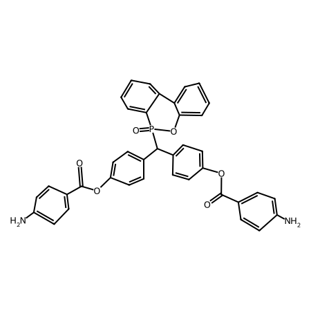 Nc1ccc(C(=O)Oc2ccc(C(c3ccc(OC(=O)c4ccc(N)cc4)cc3)P3(=O)Oc4ccccc4-c4ccccc43)cc2)cc1